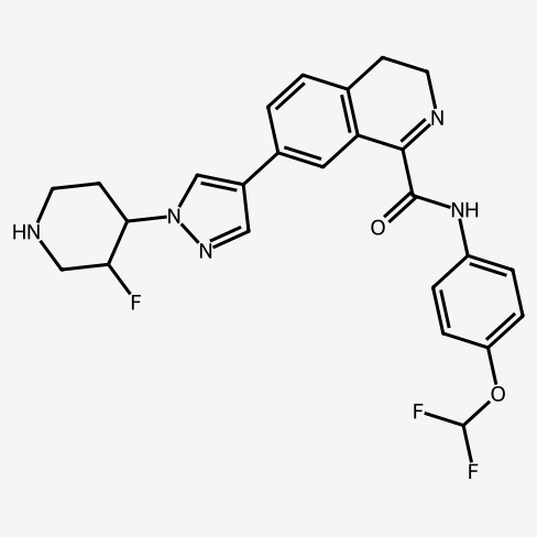 O=C(Nc1ccc(OC(F)F)cc1)C1=NCCc2ccc(-c3cnn(C4CCNCC4F)c3)cc21